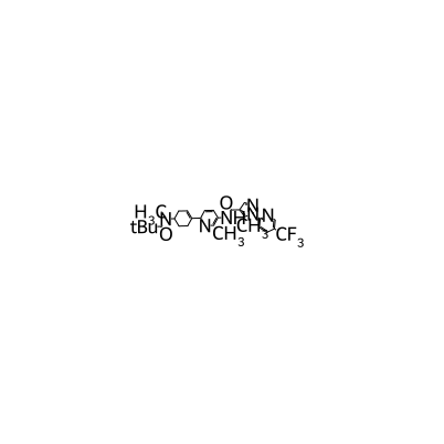 Cc1nc(C2=CCC(N(C)C(=O)C(C)(C)C)CC2)ccc1NC(=O)c1cnn(-c2ccc(C(F)(F)F)cn2)c1C